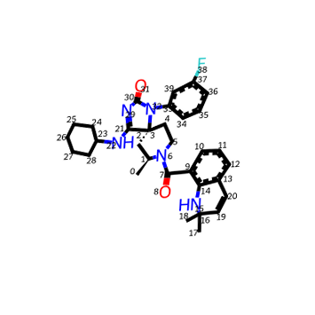 C[C@H]1C[C@]2(CCN1C(=O)c1cccc3c1NC(C)(C)C=C3)C(NC1CCCCC1)=NC(=O)N2c1cccc(F)c1